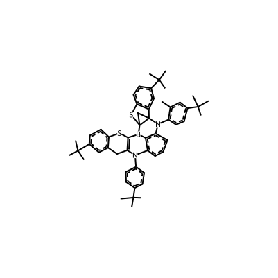 Cc1cc(C(C)(C)C)ccc1N1c2cccc3c2B(C2=C(Cc4cc(C(C)(C)C)ccc4S2)N3c2ccc(C(C)(C)C)cc2)C23CC12c1cc(C(C)(C)C)ccc1S3